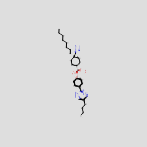 CCCCCCCC[C@]1(C#N)CC[C@H](C(=O)Oc2ccc(-c3ncc(CCCC)cn3)cc2)CC1